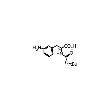 CC(C)(C)OC(=O)N[C@@H](Cc1cccc(N)c1)C(=O)O